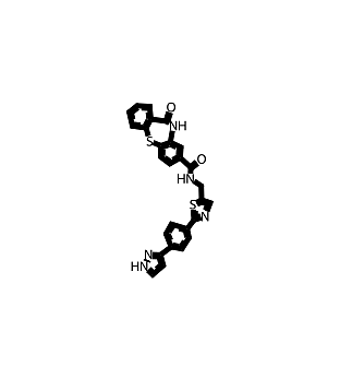 O=C(NCc1cnc(-c2ccc(-c3cc[nH]n3)cc2)s1)c1ccc2c(c1)NC(=O)c1ccccc1S2